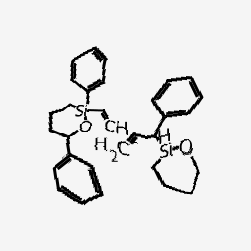 C=CC(c1ccccc1)[SiH]1CCCCO1.C=C[Si]1(c2ccccc2)CCCC(c2ccccc2)O1